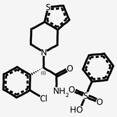 NC(=O)[C@H](c1ccccc1Cl)N1CCc2sccc2C1.O=S(=O)(O)c1ccccc1